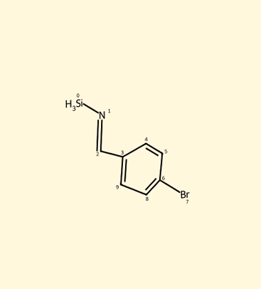 [SiH3]/N=C/c1ccc(Br)cc1